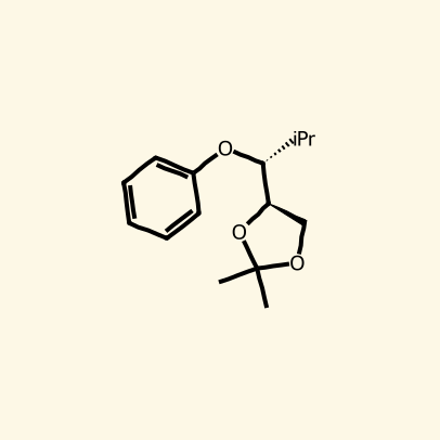 CC(C)[C@@H](Oc1ccccc1)[C@H]1COC(C)(C)O1